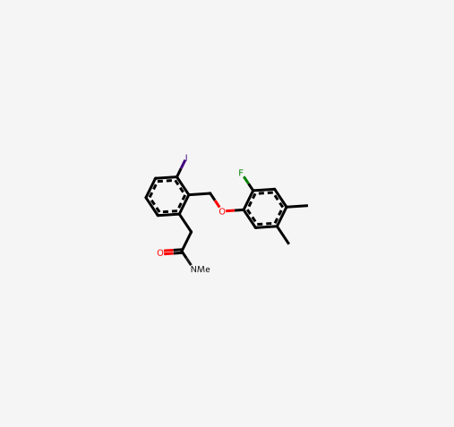 CNC(=O)Cc1cccc(I)c1COc1cc(C)c(C)cc1F